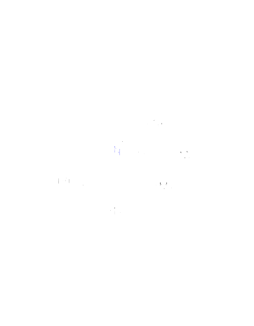 CO[Si](OC)(OC)N(C)C(C(C)(C)C)C(C)(C)C